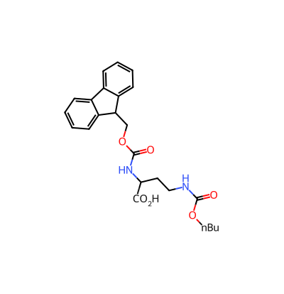 CCCCOC(=O)NCCC(NC(=O)OCC1c2ccccc2-c2ccccc21)C(=O)O